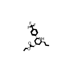 CCC[C@H]1C[C@H](CC(=O)OCC)C[C@H](c2ccc(C(F)(F)F)cc2)N1